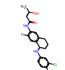 CC(O)CC(=O)Nc1cc2c(cc1F)C(Nc1ccc(Cl)c(Cl)c1)CCC2